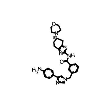 Nc1ccc(-c2cn(Cc3cccc(C(=O)Nc4nc5c(s4)C[C@@H](N4CCOCC4)CC5)c3)cn2)cc1